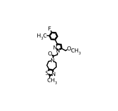 COCc1cc(-c2ccc(F)c(C)c2)nn1CC(=O)N1CCc2nc(C)sc2CC1